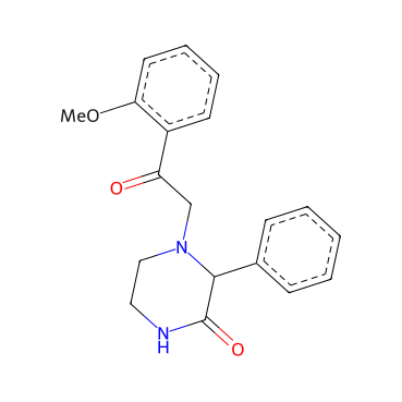 COc1ccccc1C(=O)CN1CCNC(=O)C1c1ccccc1